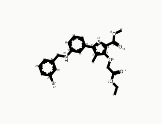 CCOC(=O)COc1c(C(=O)OC)sc(-c2cccc(NCc3cccc(Br)c3)c2)c1C